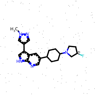 Cn1cc(-c2c[nH]c3ncc(C4CCC(N5CC[C@@H](F)C5)CC4)cc23)cn1